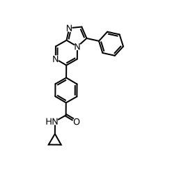 O=C(NC1CC1)c1ccc(-c2cn3c(-c4ccccc4)cnc3cn2)cc1